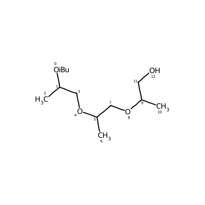 CC(C)COC(C)COC(C)COC(C)CO